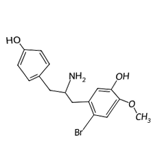 COc1cc(Br)c(CC(N)Cc2ccc(O)cc2)cc1O